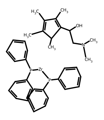 CC1=C(C)C(C)C(C(O)CN(C)C)=C1C.c1ccc([P]([Zr][P](c2ccccc2)c2ccccc2)c2ccccc2)cc1